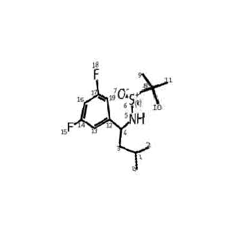 CC(C)CC(N[S@@+]([O-])C(C)(C)C)c1cc(F)cc(F)c1